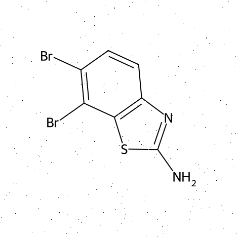 Nc1nc2ccc(Br)c(Br)c2s1